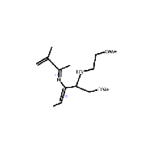 C=C(C)/C(C)=N/C(=C\C)C(COC)NCCOC